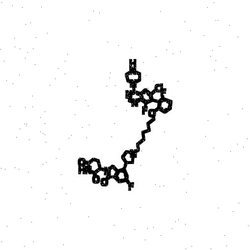 O=C1CCC(N2Cc3c(cc(F)cc3C3CCN(CCCCCCCOc4cccc(F)c4-c4c(Cl)cc5c(N6CCNCC6)ncnc5c4F)C3)C2=O)C(=O)N1